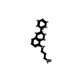 OCCCOc1cccc2c1CCC(c1ccccc1)=C2